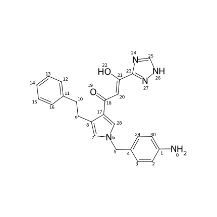 Nc1ccc(Cn2cc(CCc3ccccc3)c(C(=O)C=C(O)c3nc[nH]n3)c2)cc1